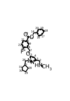 CNCc1cc(OCc2cc(C(=O)OCc3ccccc3)ccc2F)n(CC2CCCC2)n1